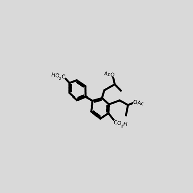 CC(=O)OC(C)Cc1c(C(=O)O)ccc(-c2ccc(C(=O)O)cc2)c1CC(C)OC(C)=O